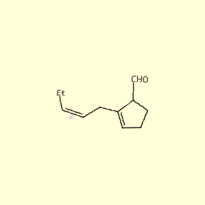 CC/C=C\CC1=CCCC1C=O